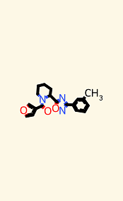 Cc1cccc(-c2noc(C3CCCCN3C(=O)c3ccoc3)n2)c1